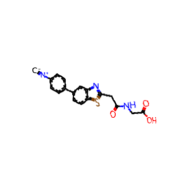 [C-]#[N+]c1ccc(-c2ccc3sc(CC(=O)NCC(=O)O)nc3c2)cc1